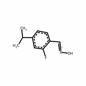 CC(C)c1ccc(/C=N/O)c(F)c1